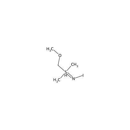 COC[SH](C)(C)=NI